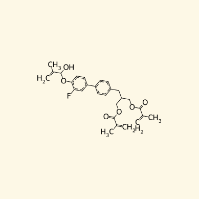 C=C(C)C(=O)OCC(COC(=O)C(=C)C)Cc1ccc(-c2ccc(OC(O)C(=C)C)c(F)c2)cc1